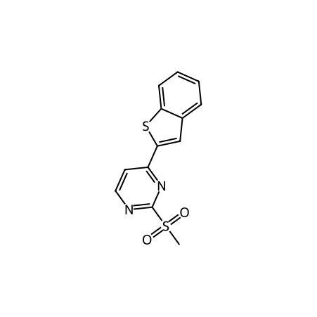 CS(=O)(=O)c1nccc(-c2cc3ccccc3s2)n1